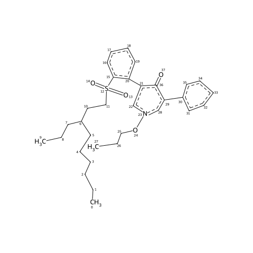 CCCCCCC(CCC)CCS(=O)(=O)c1ccccc1-c1cn(OCCC)cc(-c2ccccc2)c1=O